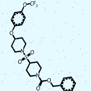 O=C(OCc1ccccc1)N1CCC(S(=O)(=O)N2CCC(Oc3ccc(OC(F)(F)F)cc3)CC2)CC1